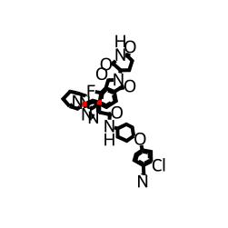 N#Cc1ccc(OC2CCC(NC(=O)c3ccc(N4C5CCC4CN(Cc4ccc6c(c4F)C(=O)N(C4CCC(=O)NC4=O)C6=O)C5)nn3)CC2)cc1Cl